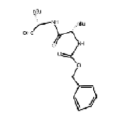 CCCC[C@@H](C=O)NC(=O)[C@H](CCCC)NC(=O)OCc1ccccc1